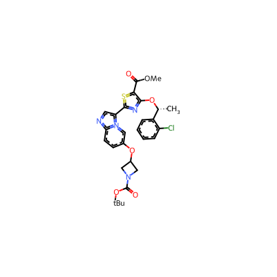 COC(=O)c1sc(-c2cnc3ccc(OC4CN(C(=O)OC(C)(C)C)C4)cn23)nc1O[C@H](C)c1ccccc1Cl